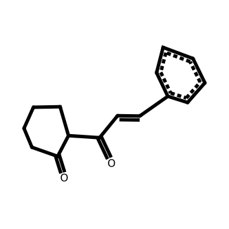 O=C(C=Cc1ccccc1)C1CCCCC1=O